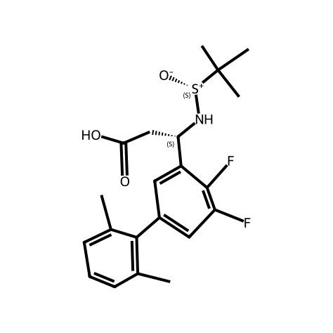 Cc1cccc(C)c1-c1cc(F)c(F)c([C@H](CC(=O)O)N[S@+]([O-])C(C)(C)C)c1